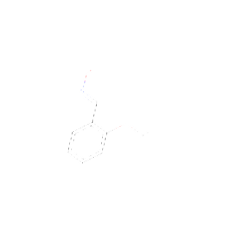 CCCOc1ccccc1C=NO